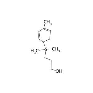 CC1=CCC(S(C)(C)CCCO)C=C1